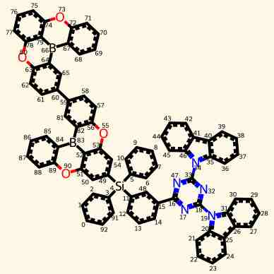 c1ccc([Si](c2ccccc2)(c2cccc(-c3nc(-n4c5ccccc5c5ccccc54)nc(-n4c5ccccc5c5ccccc54)n3)c2)c2cc3c4c(c2)Oc2ccc(-c5ccc6c(c5)B5c7ccccc7Oc7cccc(c75)O6)cc2B4c2ccccc2O3)cc1